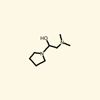 CN(C)CC(O)N1CCCC1